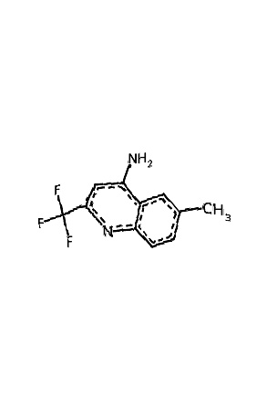 Cc1ccc2nc(C(F)(F)F)cc(N)c2c1